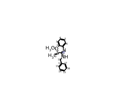 COc1ccccc1/N=C(/NCc1ccccc1)SC